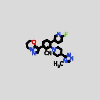 Cn1cnnc1C1CCN(c2c(-c3ccc(F)nc3)ccc(-c3cnn4c3OCCC4)c2C#N)CC1